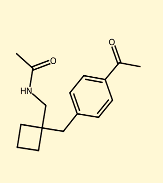 CC(=O)NCC1(Cc2ccc(C(C)=O)cc2)CCC1